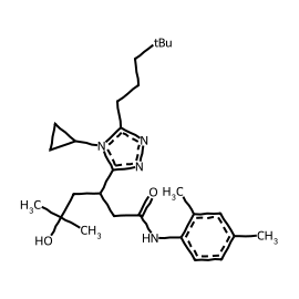 Cc1ccc(NC(=O)CC(CC(C)(C)O)c2nnc(CCCC(C)(C)C)n2C2CC2)c(C)c1